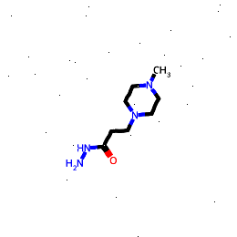 CN1CCN(CCC(=O)NN)CC1